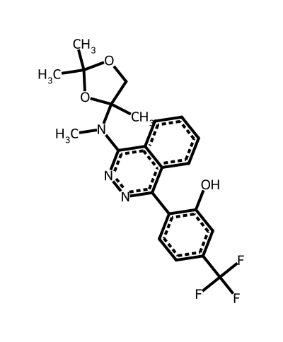 CN(c1nnc(-c2ccc(C(F)(F)F)cc2O)c2ccccc12)C1(C)COC(C)(C)O1